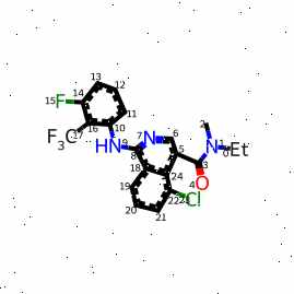 CCN(C)C(=O)c1cnc(Nc2cccc(F)c2C(F)(F)F)c2cccc(Cl)c12